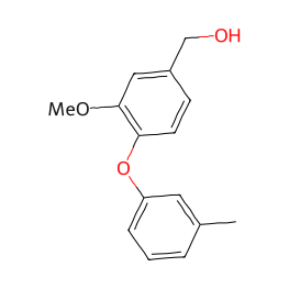 COc1cc(CO)ccc1Oc1cccc(C)c1